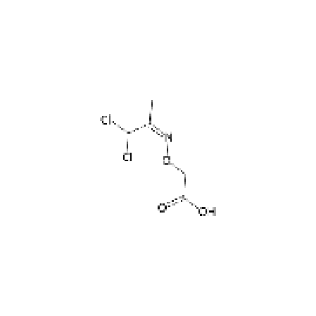 CC(=NOCC(=O)O)C(Cl)Cl